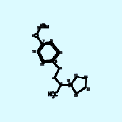 CC(CCc1ccc(OC(C)(C)C)cc1)N1CCCC1